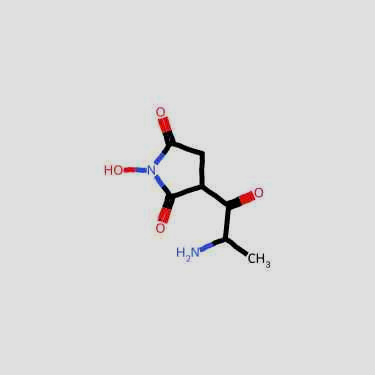 CC(N)C(=O)C1CC(=O)N(O)C1=O